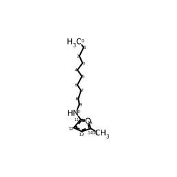 CCCCCCCCCCNc1ccc(C)o1